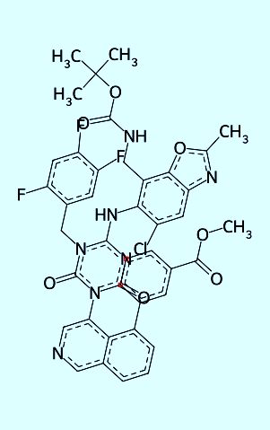 COC(=O)c1cccc(-c2cccc3cncc(-n4c(=O)nc(Nc5c(Cl)cc6nc(C)oc6c5CNC(=O)OC(C)(C)C)n(Cc5cc(F)c(F)cc5F)c4=O)c23)c1